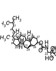 CC(C)CCC[C@@H](C)C1CC[C@H]2[C@@H]3CC=C4C[C@@H](OC(=O)NCP(=O)(O)O)CC[C@]4(C)C3CC[C@]12C